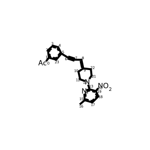 CC(=O)c1cccc(C#CC=C2CCN(c3nc(C)ccc3[N+](=O)[O-])CC2)c1